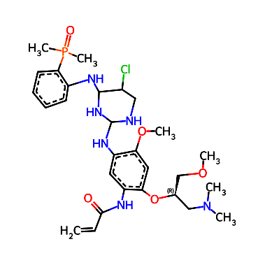 C=CC(=O)Nc1cc(NC2NCC(Cl)C(Nc3ccccc3P(C)(C)=O)N2)c(OC)cc1O[C@@H](COC)CN(C)C